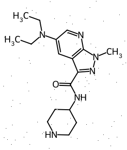 CCN(CC)c1cnc2c(c1)c(C(=O)NC1CCNCC1)nn2C